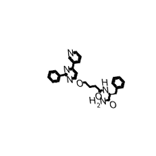 NC(=O)[C@H](Cc1ccccc1)NC(=O)CCCOc1cc(-c2cccnc2)nc(-c2ccccc2)n1